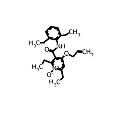 C=CCOc1cc(CC)[n+]([O-])c(CC)c1C(=O)Nc1c(CC)cccc1CC